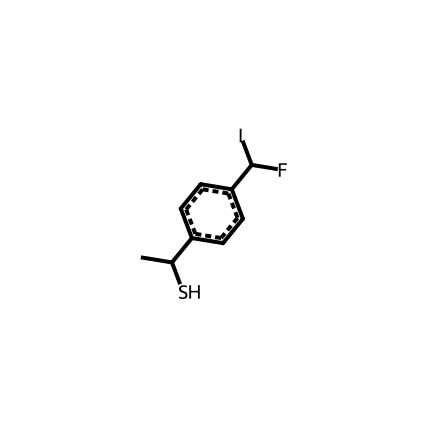 CC(S)c1ccc(C(F)I)cc1